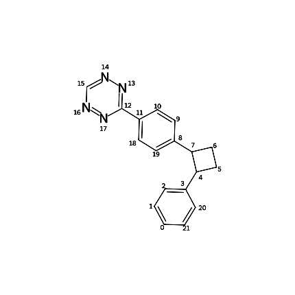 c1ccc(C2CCC2c2ccc(-c3nncnn3)cc2)cc1